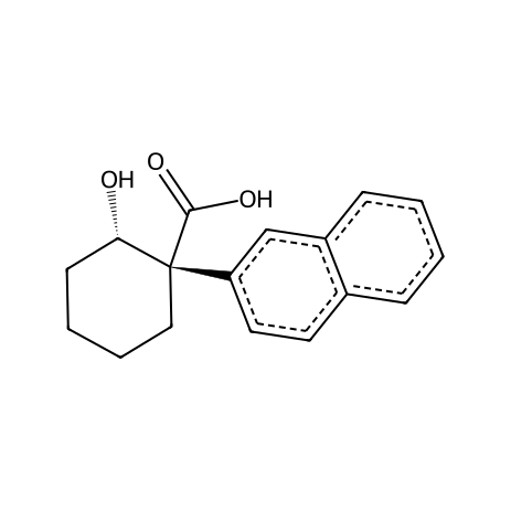 O=C(O)[C@]1(c2ccc3ccccc3c2)CCCC[C@@H]1O